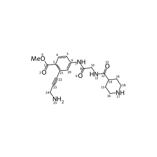 COC(=O)c1ccc(NC(=O)CNC(=O)C2CCNCC2)cc1C#CCN